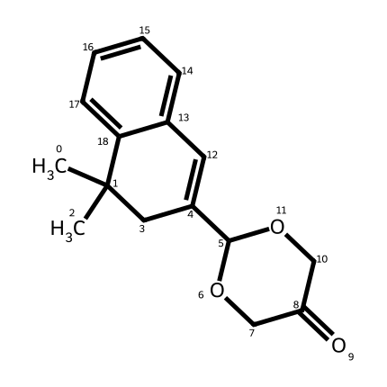 CC1(C)CC(C2OCC(=O)CO2)=Cc2ccccc21